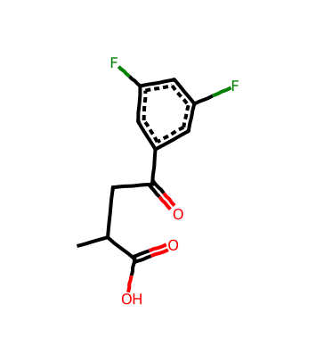 CC(CC(=O)c1cc(F)cc(F)c1)C(=O)O